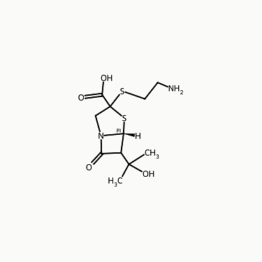 CC(C)(O)C1C(=O)N2CC(SCCN)(C(=O)O)S[C@H]12